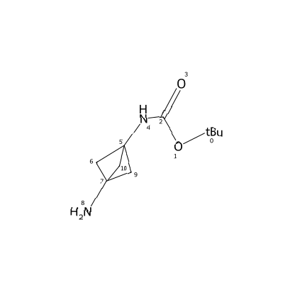 CC(C)(C)OC(=O)NC12CC(N)(C1)C2